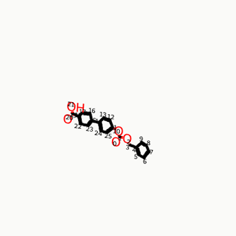 O=C(OCc1ccccc1)Oc1ccc(-c2ccc(C(=O)O)cc2)cc1